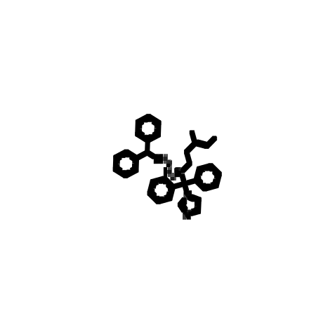 BC(c1ccccc1)c1ccccc1.CC=C(C)CC[SiH2]C(c1ccccc1)(c1ccccc1)n1ccnc1